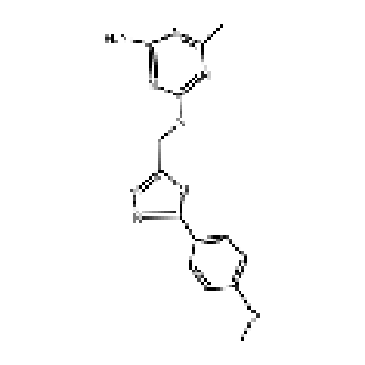 COc1ccc(-c2nnc(CSc3nc(C)nc(N)n3)o2)cc1